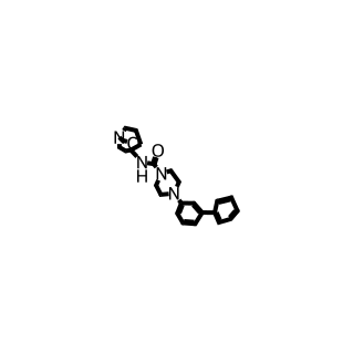 O=C(NC1CCN2CCC1CC2)N1CCN(c2cccc(-c3ccccc3)c2)CC1